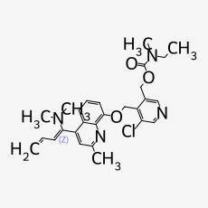 C=C/C=C(/c1cc(C)nc2c(OCc3c(Cl)cncc3COC(=O)N(C)CC)cccc12)N(C)C